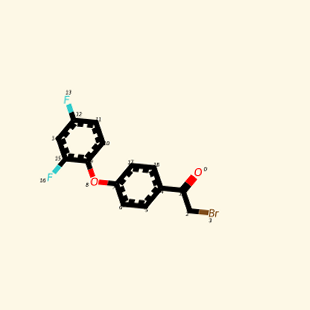 O=C(CBr)c1ccc(Oc2ccc(F)cc2F)cc1